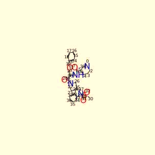 CN1CCC[C@H](C(=O)N[C@H](COCc2ccccc2)C(=O)N2CCC3(CC2)CN(S(C)(=O)=O)c2ccccc23)C1